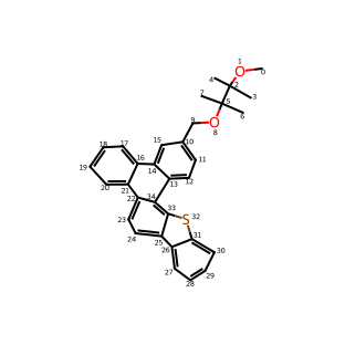 COC(C)(C)C(C)(C)OCc1ccc2c(c1)c1ccccc1c1ccc3c4ccccc4sc3c12